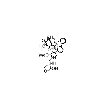 COc1cc(C2(NC(=O)c3cn(C)c(=O)n(C)c3=O)C=CC=C(c3ccccc3Cl)C2C)cnc1CN[C@@H]1CCOC[C@@H]1O